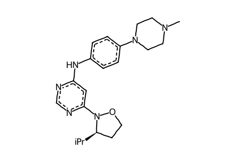 CC(C)[C@@H]1CCON1c1cc(Nc2ccc(N3CCN(C)CC3)cc2)ncn1